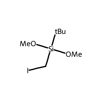 CO[Si](CI)(OC)C(C)(C)C